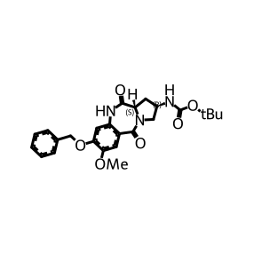 COc1cc2c(cc1OCc1ccccc1)NC(=O)[C@@H]1C[C@@H](NC(=O)OC(C)(C)C)CN1C2=O